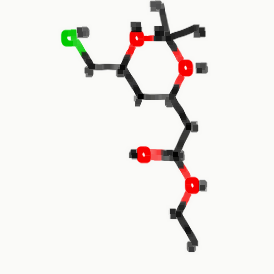 CCOC(=O)CC1CC(CCl)OC(C)(C)O1